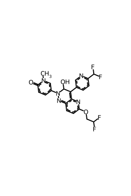 Cn1cc(N2N=c3ccc(OCC(F)F)nc3=C(c3ccc(C(F)F)nc3)C2O)ccc1=O